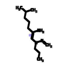 C=NN(/C=C(\N)CCCC(C)C)CCC